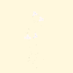 O=c1nc(CCc2ccc(F)c(Br)c2)[nH]cc1Cc1cncnc1